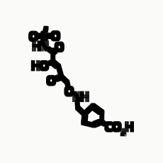 CS(=O)(=O)NC(=O)/C(O)=C/C(=O)CONCc1ccc(C(=O)O)cc1